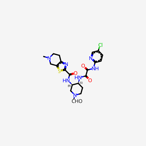 CN1CCc2nc(C(=O)N[C@@H]3CN(C=O)CC[C@@H]3NC(=O)C(=O)Nc3ccc(Cl)cn3)sc2C1